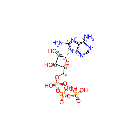 Nc1ncnc2c1nc(N)n2[C@@H]1O[C@H](COP(=O)(O)OP(=O)(O)OP(=O)(O)O)C(O)C1O